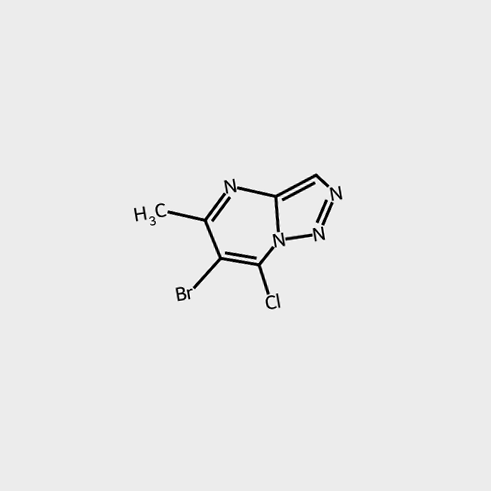 Cc1nc2cnnn2c(Cl)c1Br